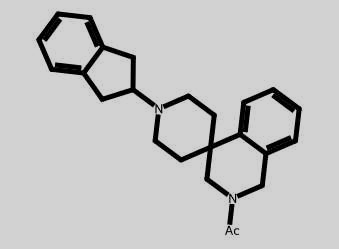 CC(=O)N1Cc2ccccc2C2(CCN(C3Cc4ccccc4C3)CC2)C1